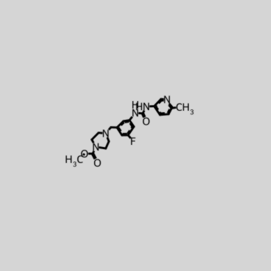 COC(=O)N1CCN(Cc2cc(F)cc(NC(=O)Nc3ccc(C)nc3)c2)CC1